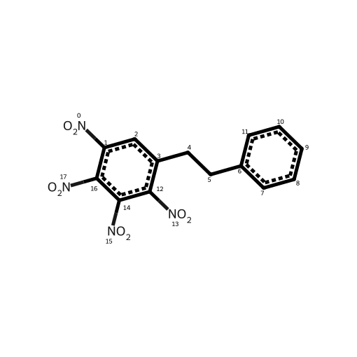 O=[N+]([O-])c1cc(CCc2ccccc2)c([N+](=O)[O-])c([N+](=O)[O-])c1[N+](=O)[O-]